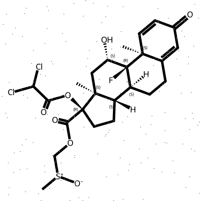 C[S+]([O-])COC(=O)[C@@]1(OC(=O)C(Cl)Cl)CC[C@H]2[C@@H]3CCC4=CC(=O)C=C[C@]4(C)[C@@]3(F)[C@@H](O)C[C@@]21C